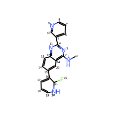 CNc1nc(-c2cccnc2)nc2ccc(C3=CC=CNC3F)cc12